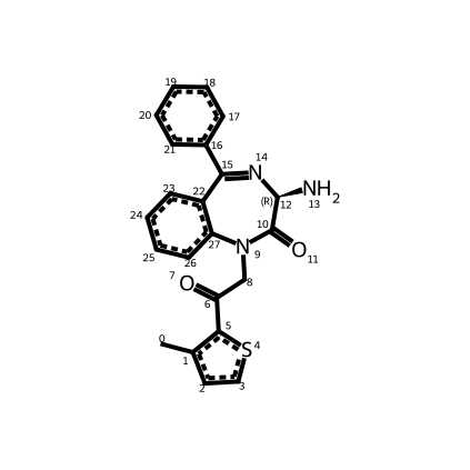 Cc1ccsc1C(=O)CN1C(=O)[C@H](N)N=C(c2ccccc2)c2ccccc21